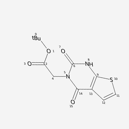 CC(C)(C)OC(=O)Cn1c(=O)[nH]c2sccc2c1=O